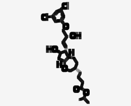 CC(C)OC(=O)CCC[C@H]1CC[C@@H]2[C@@H](/C=C/[C@@H](O)COc3cc(Cl)cc(Cl)c3)[C@H](O)C[C@@H]2OC1